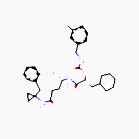 CN(C(=O)CC[C@@H](C=O)NC(=O)[C@H](CC1CCCCC1)OC(=O)NCc1cccc(Cl)c1)C1(Cc2ccccc2)CC1